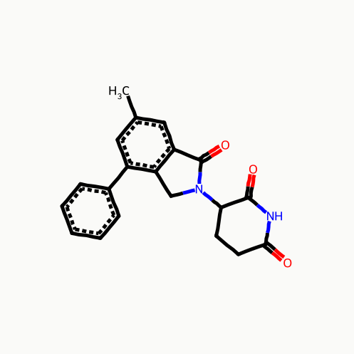 Cc1cc2c(c(-c3ccccc3)c1)CN(C1CCC(=O)NC1=O)C2=O